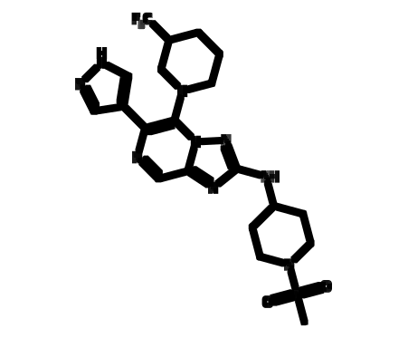 CS(=O)(=O)N1CCC(Nc2nc3cnc(-c4cn[nH]c4)c(N4CCCC(C(F)(F)F)C4)n3n2)CC1